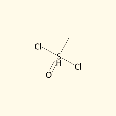 C[SH](=O)(Cl)Cl